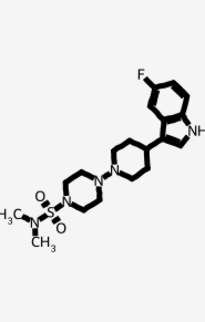 CN(C)S(=O)(=O)N1CCN(N2CCC(c3c[nH]c4ccc(F)cc34)CC2)CC1